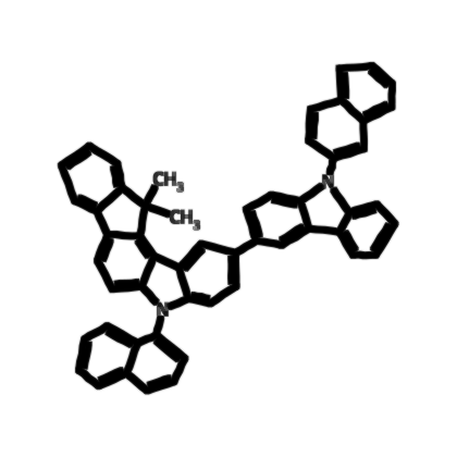 CC1(C)c2ccccc2-c2ccc3c(c21)c1cc(-c2ccc4c(c2)c2ccccc2n4-c2ccc4ccccc4c2)ccc1n3-c1cccc2ccccc12